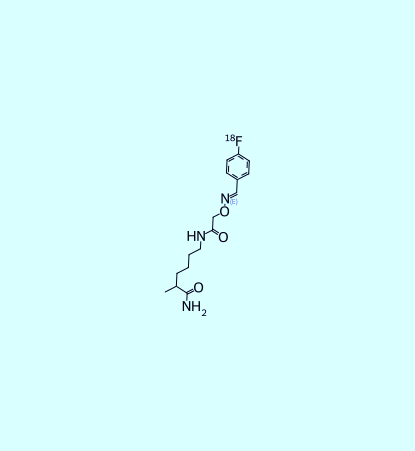 CC(CCCCNC(=O)CO/N=C/c1ccc([18F])cc1)C(N)=O